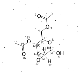 CC(=O)OC[C@H]1O[C@H](O)[C@H]2O[C@H]2[C@@H]1OC(C)=O